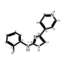 Fc1ccccc1Nc1nc(-c2ccncc2)cs1